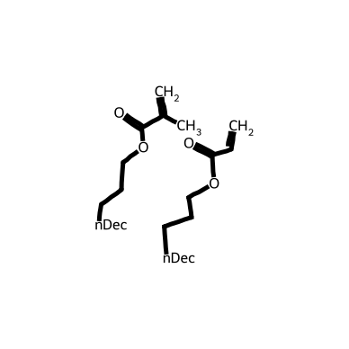 C=C(C)C(=O)OCCCCCCCCCCCCC.C=CC(=O)OCCCCCCCCCCCCC